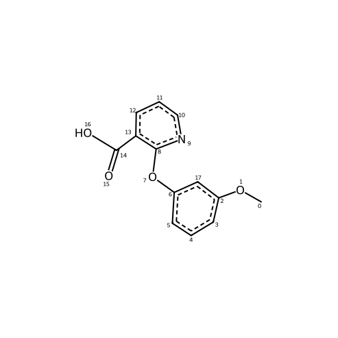 COc1cccc(Oc2ncccc2C(=O)O)c1